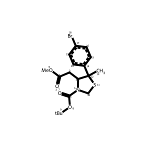 COC(=O)CC1N(C(=O)OC(C)(C)C)CSC1(C)c1ccc(Br)cc1